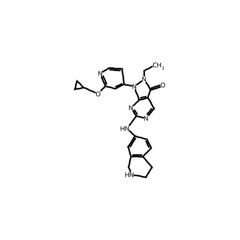 CCn1c(=O)c2cnc(Nc3ccc4c(c3)CNCC4)nc2n1-c1ccnc(OC2CC2)c1